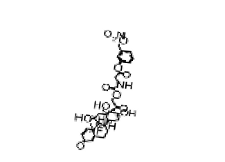 C[C@]12C=CC(=O)C=C1CC[C@H]1[C@@H]3C[C@@H](O)[C@](O)(C(=O)COC(=O)NCC(=O)Oc4cccc(CO[N+](=O)[O-])c4)[C@@]3(C)C[C@H](O)[C@@]12F